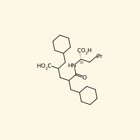 CC(C)C[C@H](NC(=O)C(CC1CCCCC1)CC(CC1CCCCC1)C(=O)O)C(=O)O